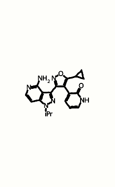 CC(C)n1nc(-c2noc(C3CC3)c2-c2ccc[nH]c2=O)c2c(N)nccc21